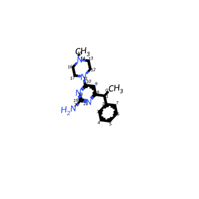 CC(c1ccccc1)c1cc(N2CCN(C)CC2)nc(N)n1